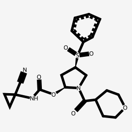 N#CC1(NC(=O)O[C@H]2C[C@@H](S(=O)(=O)c3ccccc3)CN2C(=O)C2CCOCC2)CC1